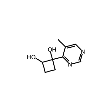 Cc1cn[c]nc1C1(O)CCC1O